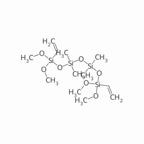 C=C[Si](OC)(OC)O[Si](C)(C)O[Si](C)(C)O[Si](C=C)(OC)OC